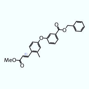 COC(=O)/C=C/c1ccc(Oc2cccc(C(=O)OCc3ccccc3)c2)cc1C